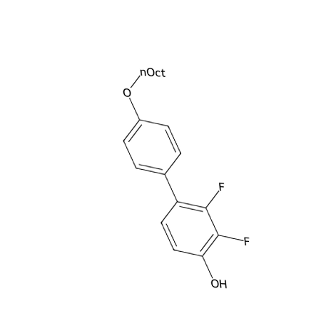 CCCCCCCCOc1ccc(-c2ccc(O)c(F)c2F)cc1